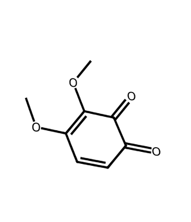 COC1=C(OC)C(=O)C(=O)C=C1